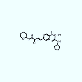 CC(C)[C@@H](Nc1cnc(/C=C/C(=O)NOC2CCCCO2)cn1)C(=O)NC1CCCC1